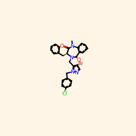 CN1C(=O)[C@H](Cc2ccccc2)N(Cc2c(Br)cnn2Cc2ccc(Cl)cc2)C(=O)c2ccccc21